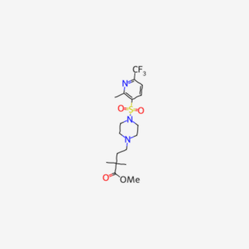 COC(=O)C(C)(C)CCN1CCN(S(=O)(=O)c2ccc(C(F)(F)F)nc2C)CC1